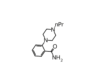 CCCN1CCN(c2ccccc2C(N)=O)CC1